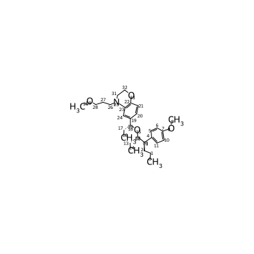 CCC[C@H](c1ccc(OC)cc1)[C@H](CC)O[C@H](CC)c1ccc2c(c1)N(CCCOC)CCO2